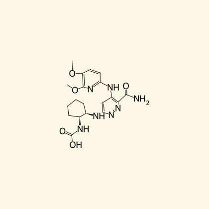 COc1ccc(Nc2cc(N[C@@H]3CCCC[C@@H]3NC(=O)O)nnc2C(N)=O)nc1OC